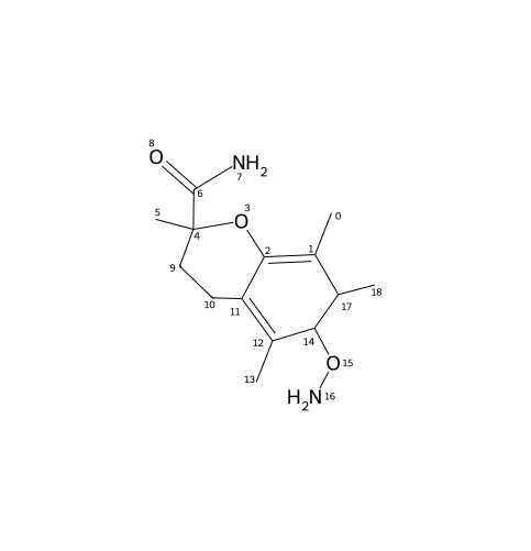 CC1=C2OC(C)(C(N)=O)CCC2=C(C)C(ON)C1C